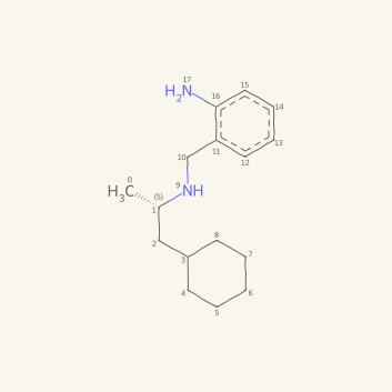 C[C@@H](CC1CCCCC1)NCc1ccccc1N